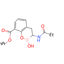 CCCOC(=O)c1cccc2c1OB(O)C(NC(=O)CC)C2